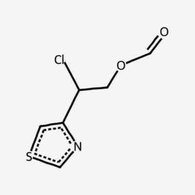 O=COCC(Cl)c1cscn1